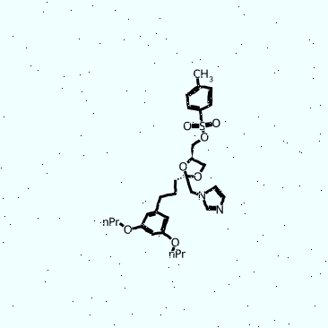 CCCOc1cc(CCC[C@@]2(Cn3ccnc3)OC[C@H](COS(=O)(=O)c3ccc(C)cc3)O2)cc(OCCC)c1